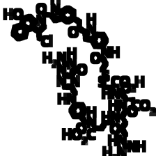 N=C(N)NCCC[C@@H](NC(=O)CC[C@@H](NC(=O)c1ccc(NCc2cnc3nc(N)[nH]c(=O)c3n2)cc1)C(=O)O)C(=O)N[C@H](CC(=O)O)C(=O)NC(CSSCCC(=O)Nc1ccc2[nH]c(C(=O)Cc3ccc4[nH]c(C(=O)N5CC(CCl)c6c5cc(O)c5ccccc65)cc4c3)cc2c1)C(=O)O